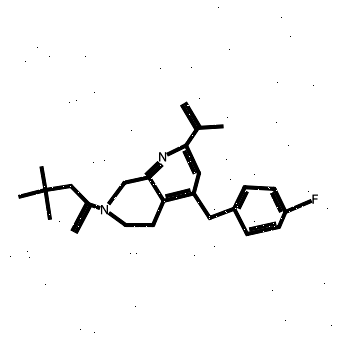 C=C(C)c1cc(Cc2ccc(F)cc2)c2c(n1)CN(C(=C)CC(C)(C)C)CC2